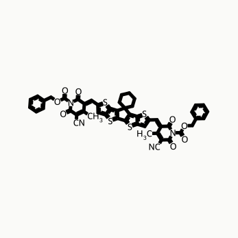 CC1=C(C#N)C(=O)N(C(=O)OCc2ccccc2)C(=O)/C1=C/c1cc2sc3c(c2s1)C1(CCCCC1)c1c-3sc2cc(/C=C3/C(=O)N(C(=O)OCc4ccccc4)C(=O)C(C#N)=C3C)sc12